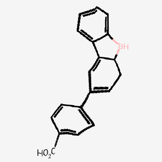 O=C(O)c1ccc(C2=CCC3Bc4ccccc4C3=C2)cc1